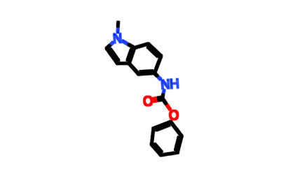 Cn1ccc2cc(NC(=O)Oc3ccccc3)ccc21